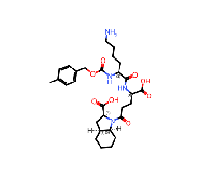 Cc1ccc(COC(=O)N[C@@H](CCCCN)C(=O)N[C@H](CCC(=O)N2[C@H](C(=O)O)C[C@@H]3CCCC[C@@H]32)C(=O)O)cc1